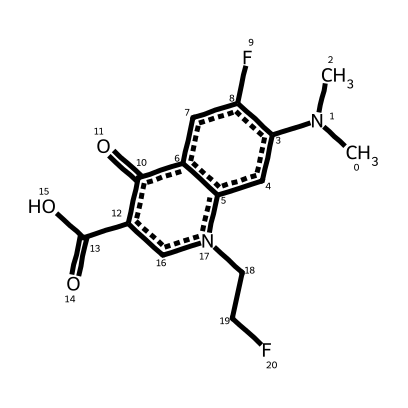 CN(C)c1cc2c(cc1F)c(=O)c(C(=O)O)cn2CCF